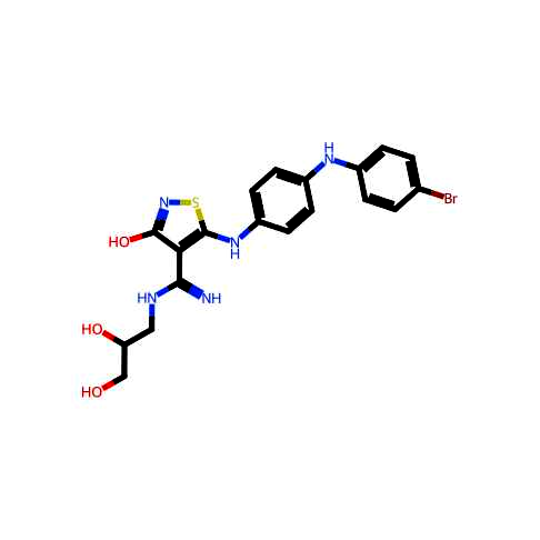 N=C(NCC(O)CO)c1c(O)nsc1Nc1ccc(Nc2ccc(Br)cc2)cc1